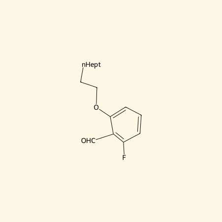 CCCCCCCCCOc1cccc(F)c1C=O